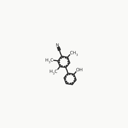 Cc1cc(-c2ccccc2O)c(C)c(C)c1C#N